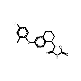 Cc1cc(C(F)(F)F)ccc1Oc1ccc2c(c1)CCC[C@H]2[C@@H]1OC(=O)NC1=O